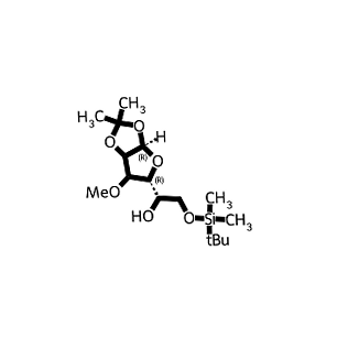 COC1C2OC(C)(C)O[C@H]2O[C@@H]1C(O)CO[Si](C)(C)C(C)(C)C